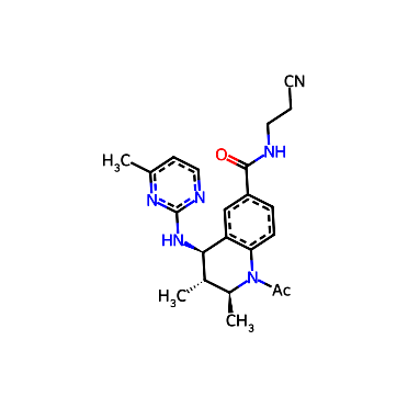 CC(=O)N1c2ccc(C(=O)NCCC#N)cc2[C@H](Nc2nccc(C)n2)[C@@H](C)[C@@H]1C